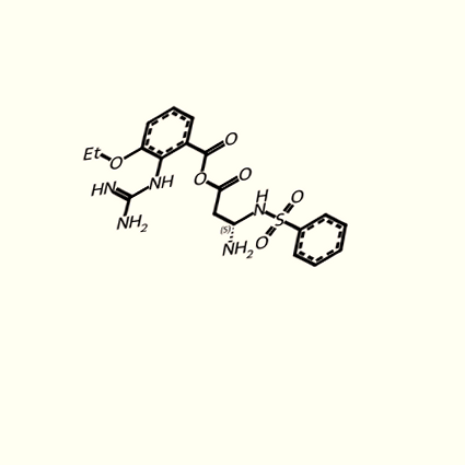 CCOc1cccc(C(=O)OC(=O)C[C@@H](N)NS(=O)(=O)c2ccccc2)c1NC(=N)N